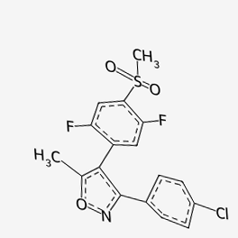 Cc1onc(-c2ccc(Cl)cc2)c1-c1cc(F)c(S(C)(=O)=O)cc1F